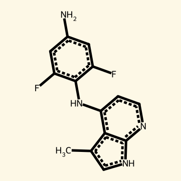 Cc1c[nH]c2nccc(Nc3c(F)cc(N)cc3F)c12